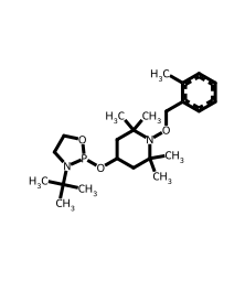 Cc1ccccc1CON1C(C)(C)CC(OP2OCCN2C(C)(C)C)CC1(C)C